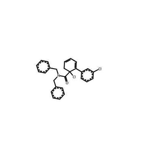 O=C(N(Cc1ccccc1)Cc1ccccc1)C1(Cl)CC=CC=C1c1cccc(Cl)c1